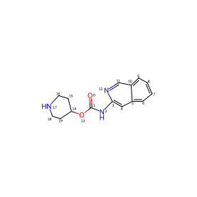 O=C(Nc1cc2ccccc2cn1)OC1CCNCC1